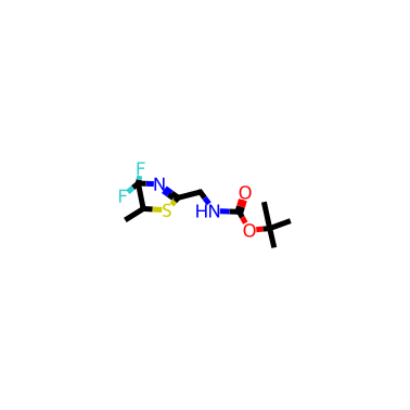 CC1SC(CNC(=O)OC(C)(C)C)=NC1(F)F